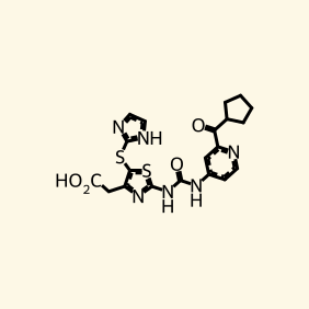 O=C(O)Cc1nc(NC(=O)Nc2ccnc(C(=O)C3CCCC3)c2)sc1Sc1ncc[nH]1